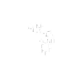 CC(C)c1cnc(NC(=O)Cc2csc(NC(=O)C(F)(F)C(F)(F)F)n2)s1